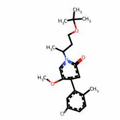 COc1cn(C(C)CCOC(C)(C)C)c(=O)cc1-c1cc(Cl)ccc1C